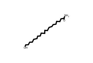 NC(=O)CCCCCCCCCCCCCCCCCCCO